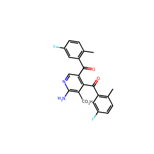 Cc1ccc(F)cc1C(=O)c1cnc(N)c(C(=O)O)c1C(=O)c1cc(F)ccc1C